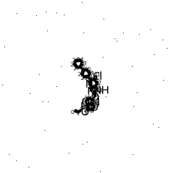 C=CCO[C@@H]1CO[C@H]2[C@@H]1OC[C@H]2Oc1nc2nc(-c3ccc(-c4ccccc4)cc3)c(Cl)cc2[nH]1